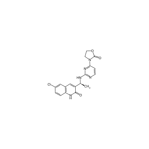 C[C@H](Nc1nccc(N2CCOC2=O)n1)c1cc2cc(Cl)ccc2[nH]c1=O